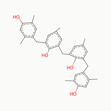 Cc1cc(Cc2cc(C)c(O)cc2C)c(O)c(Cc2cc(C)cc(Cc3cc(C)c(O)cc3C)c2O)c1